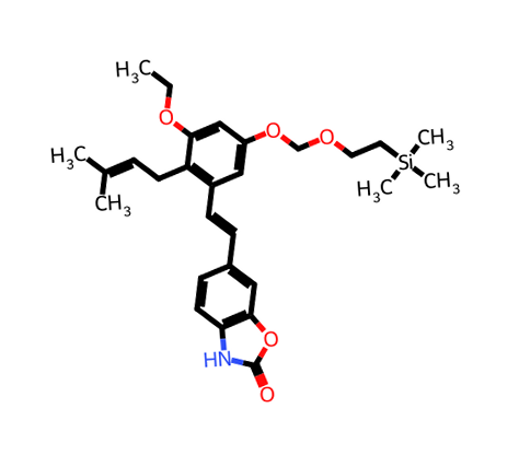 CCOc1cc(OCOCC[Si](C)(C)C)cc(/C=C/c2ccc3[nH]c(=O)oc3c2)c1CC=C(C)C